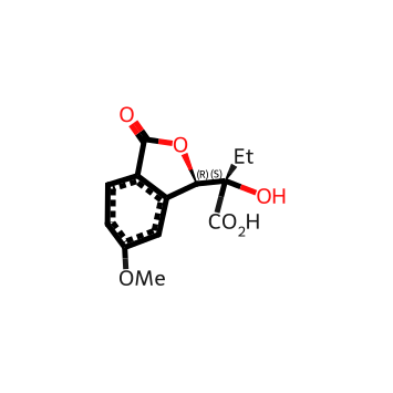 CC[C@@](O)(C(=O)O)[C@@H]1OC(=O)c2ccc(OC)cc21